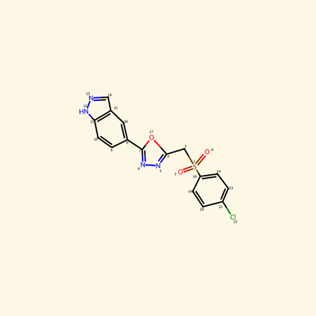 O=S(=O)(Cc1nnc(-c2ccc3[nH]ncc3c2)o1)c1ccc(Cl)cc1